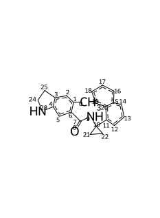 Cc1cc2c(cc1C(=O)NC1(c3cccc4ccccc34)CC1)NCC2